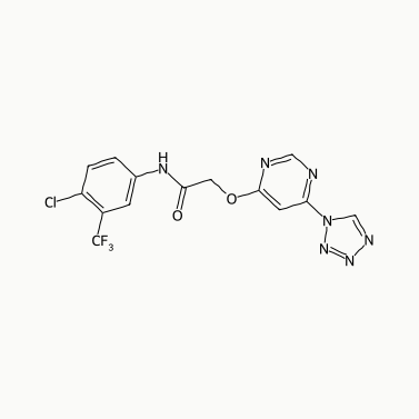 O=C(COc1cc(-n2cnnn2)ncn1)Nc1ccc(Cl)c(C(F)(F)F)c1